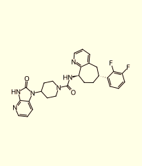 O=C(N[C@@H]1CC[C@@H](c2cccc(F)c2F)Cc2cccnc21)N1CCC(n2c(=O)[nH]c3ncccc32)CC1